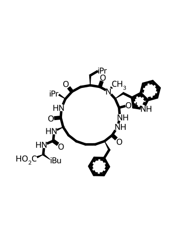 CC[C@H](C)[C@H](NC(=O)N[C@@H]1CCCC[C@H](Cc2ccccc2)C(=O)NNC(O)[C@H](Cc2c[nH]c3ccccc23)N(C)C(=O)[C@H](CC(C)C)CC(=O)[C@H](C(C)C)NC1=O)C(=O)O